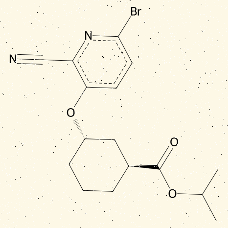 CC(C)OC(=O)[C@H]1CCC[C@H](Oc2ccc(Br)nc2C#N)C1